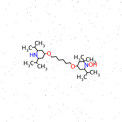 CC(C)C1CC(OCCCCCCOC2CC(C(C)C)N(O)C(C)(C)C2)CC(C(C)C)N1